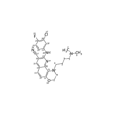 CN(C)CCCCN1CCOc2ccc3cc(C#N)c(Nc4ccc(F)c(Cl)c4)nc3c21